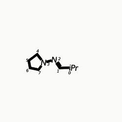 CC(C)C=NN1CCCC1